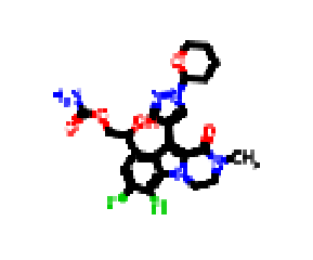 CN1CCn2c(c(-c3cnn(C4CCCCO4)c3)c3c(C(O)COC(N)=O)cc(Cl)c(Cl)c32)C1=O